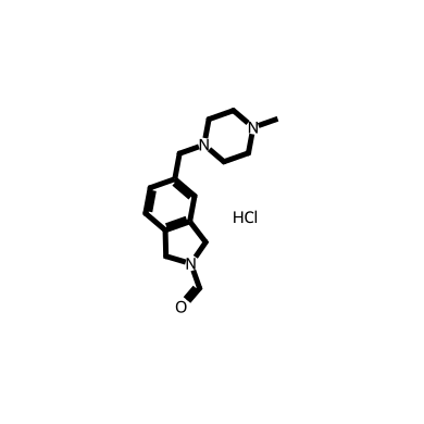 CN1CCN(Cc2ccc3c(c2)CN(C=O)C3)CC1.Cl